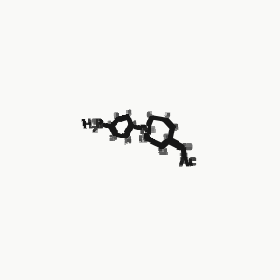 Bc1ccc(N2CCC/C(=C/C(C)=O)CC2)cc1